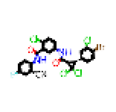 N#Cc1cc(F)ccc1NC(=O)c1cc(NC(=O)C2[C@H](c3ccc(Br)c(Cl)c3)C2(Cl)Cl)ccc1Cl